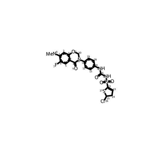 CNc1cc2c(cc1F)C(=O)N(c1ccc(NC(=O)NS(=O)(=O)C3=CCC(Cl)S3)cc1)CO2